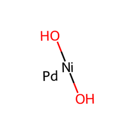 [OH][Ni][OH].[Pd]